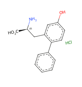 Cl.N[C@@H](Cc1cc(O)ccc1-c1ccccc1)C(=O)O